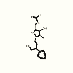 CCC(=O)NC[C@H]1N[C@H](CCC(CO)c2ccccc2)[C@H](F)[C@@H]1O